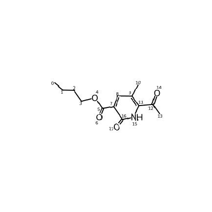 CCCCOC(=O)c1cc(C)c(C(C)=O)[nH]c1=O